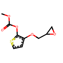 COC(=O)Oc1sccc1OCC1CO1